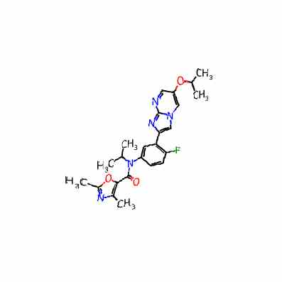 Cc1nc(C)c(C(=O)N(c2ccc(F)c(-c3cn4cc(OC(C)C)cnc4n3)c2)C(C)C)o1